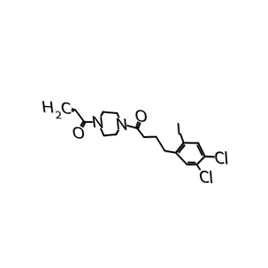 C=CC(=O)N1CCN(C(=O)CCCc2cc(Cl)c(Cl)cc2I)CC1